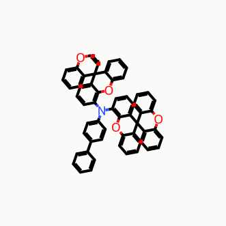 c1ccc(-c2ccc(N(c3cccc4c3Oc3ccccc3C43c4ccccc4Oc4ccccc43)c3cccc4c3Oc3ccccc3C43c4ccccc4Oc4ccccc43)cc2)cc1